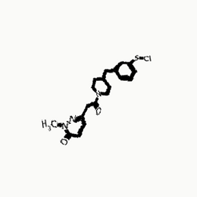 Cn1nc(CC(=O)N2CCC(Cc3cccc(SCl)c3)CC2)ccc1=O